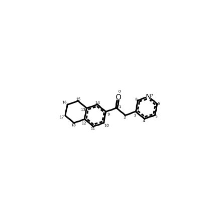 O=C(Cc1cccnc1)c1ccc2c(c1)CCCC2